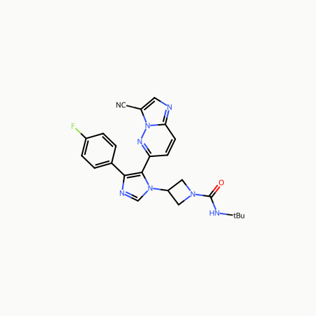 CC(C)(C)NC(=O)N1CC(n2cnc(-c3ccc(F)cc3)c2-c2ccc3ncc(C#N)n3n2)C1